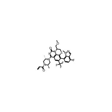 C=CC(=O)N1C[C@H](C)N(c2nc(=O)n3c4c(c(-c5ccc(F)c6cnn(C)c56)c(C(F)(F)F)cc24)SCC3COC)C[C@H]1C